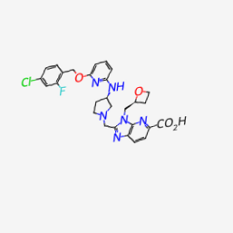 O=C(O)c1ccc2nc(CN3CC[C@@H](Nc4cccc(OCc5ccc(Cl)cc5F)n4)C3)n(C[C@@H]3CCO3)c2n1